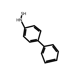 SNc1ccc(-c2ccccc2)cc1